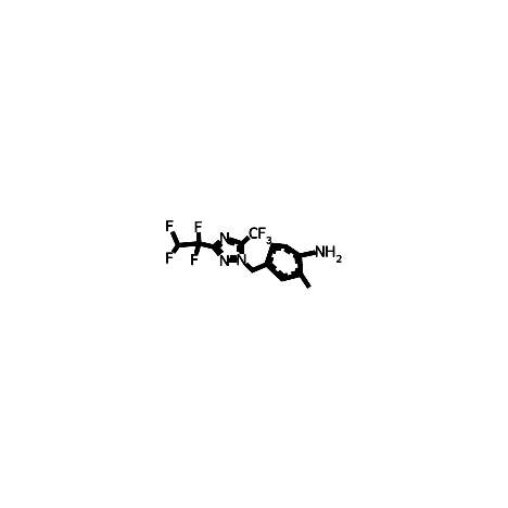 Cc1cc(Cn2nc(C(F)(F)C(F)F)nc2C(F)(F)F)ccc1N